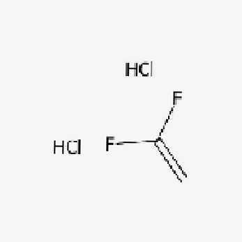 C=C(F)F.Cl.Cl